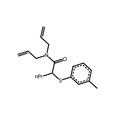 C=CCN(CC=C)C(=O)C(CCC)Sc1cccc(C)c1